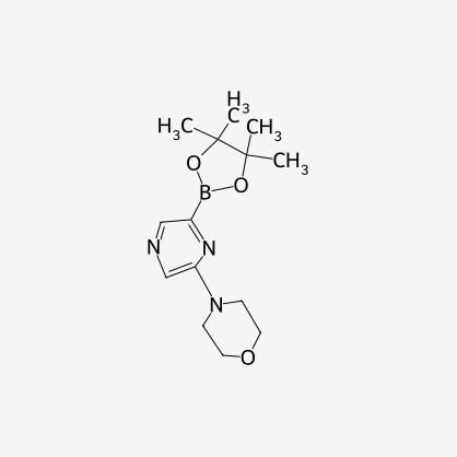 CC1(C)OB(c2cncc(N3CCOCC3)n2)OC1(C)C